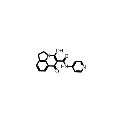 O=C(Nc1ccncc1)c1c(O)n2c3c(cccc3c1=O)CC2